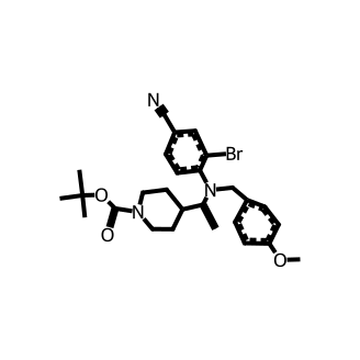 C=C(C1CCN(C(=O)OC(C)(C)C)CC1)N(Cc1ccc(OC)cc1)c1ccc(C#N)cc1Br